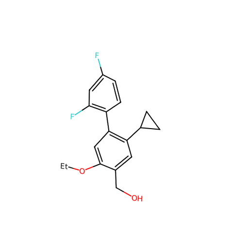 CCOc1cc(-c2ccc(F)cc2F)c(C2CC2)cc1CO